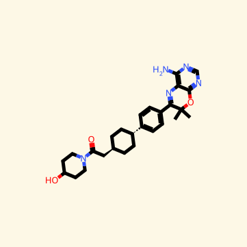 CC1(C)Oc2ncnc(N)c2N=C1c1ccc([C@H]2CC[C@H](CC(=O)N3CCC(O)CC3)CC2)cc1